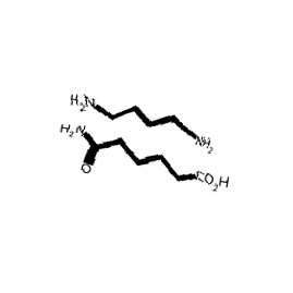 NC(=O)CCCCC(=O)O.NCCCCN